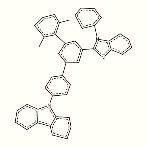 Cc1cccc(C)c1-c1cc(-c2ccc(-n3c4ccccc4c4ccccc43)cc2)cc(-c2nc3ccccc3n2-c2ccccc2)c1